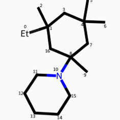 CCC1(C)CC(C)(C)CC(C)(N2CCCCC2)C1